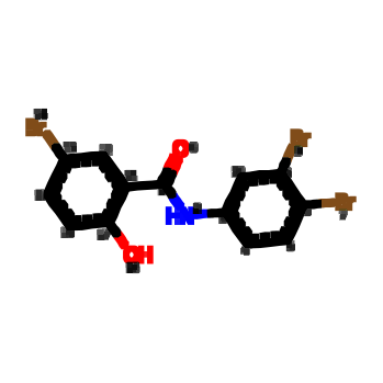 O=C(Nc1ccc(Br)c(Br)c1)c1cc(Br)ccc1O